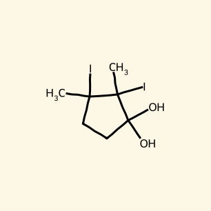 CC1(I)CCC(O)(O)C1(C)I